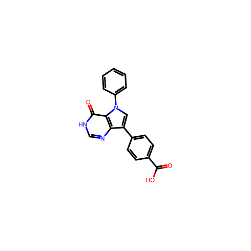 O=C(O)c1ccc(-c2cn(-c3ccccc3)c3c(=O)[nH]cnc23)cc1